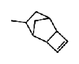 CC1CC2CC1C1C=CC21